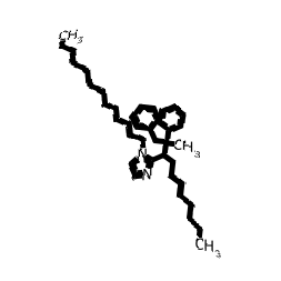 CCCCCCCCCCCCCn1ccnc1C(CCCCCCCC)C(C)(Cc1ccccc1)c1ccccc1